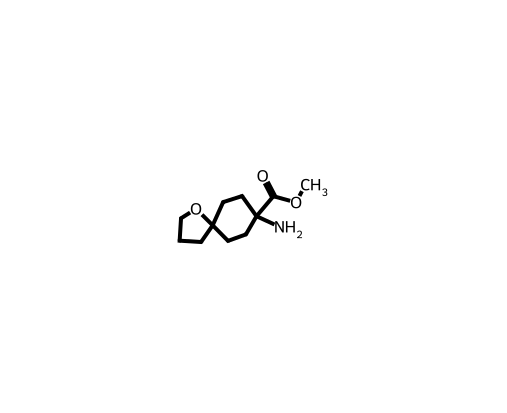 COC(=O)C1(N)CCC2(CCCO2)CC1